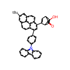 CC(C)(C)c1cc2ccc3c(C4=CC5C=CC4C(=O)C5O)cc(-c4ccc(-n5c6ccccc6c6ccccc65)cc4)c4ccc(c1)c2c34